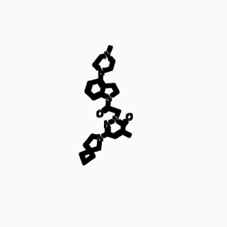 Cc1cc(N2CCC3(CCC3)C2)nn(CC(=O)N2CCc3c(N4CCN(C)CC4)cccc32)c1=O